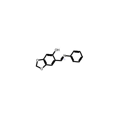 Oc1cc2c(cc1/C=N/c1ccccc1)OCO2